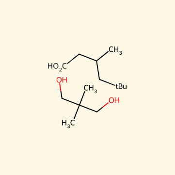 CC(C)(CO)CO.CC(CC(=O)O)CC(C)(C)C